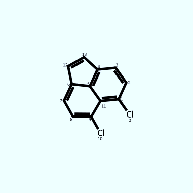 Clc1ccc2c3c(ccc(Cl)c13)C=C2